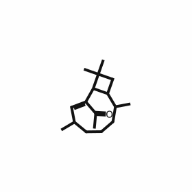 CC(=O)/C1=C\C(C)CCCC(C)C2CC(C)(C)C12